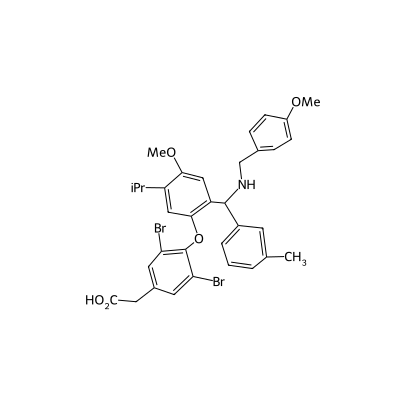 COc1ccc(CNC(c2cccc(C)c2)c2cc(OC)c(C(C)C)cc2Oc2c(Br)cc(CC(=O)O)cc2Br)cc1